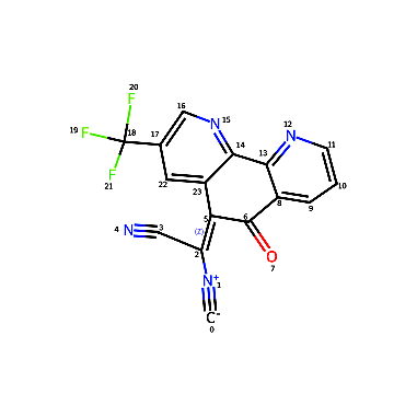 [C-]#[N+]/C(C#N)=C1\C(=O)c2cccnc2-c2ncc(C(F)(F)F)cc21